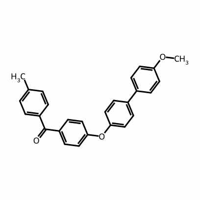 COc1ccc(-c2ccc(Oc3ccc(C(=O)c4ccc(C)cc4)cc3)cc2)cc1